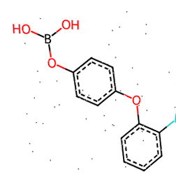 OB(O)Oc1ccc(Oc2ccccc2F)cc1